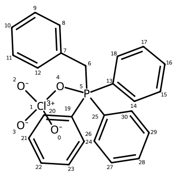 [O-][Cl+3]([O-])([O-])OP(Cc1ccccc1)(c1ccccc1)(c1ccccc1)c1ccccc1